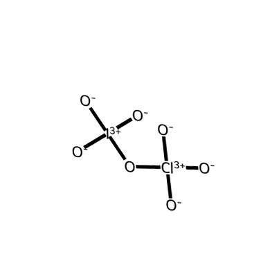 [O-][Cl+3]([O-])([O-])O[I+3]([O-])([O-])[O-]